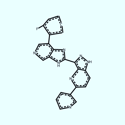 Fc1ccccc1-c1cncc2[nH]c(-c3n[nH]c4ccc(-c5cccnc5)nc34)nc12